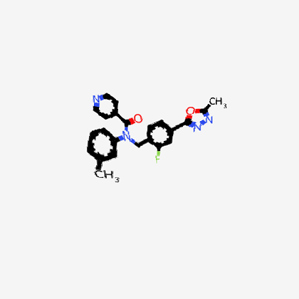 Cc1cccc(N(Cc2ccc(-c3nnc(C)o3)cc2F)C(=O)c2ccncc2)c1